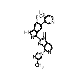 Cc1cn(-c2nccc3[nH]c(-c4n[nH]c5cc(F)c(-c6cnccc6C)cc45)nc23)cn1